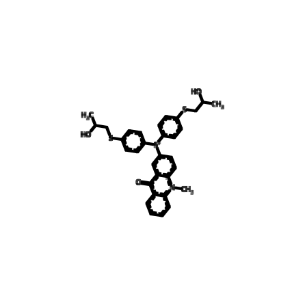 CC(O)CSc1ccc([S+](c2ccc(SCC(C)O)cc2)c2ccc3c(c2)c(=O)c2ccccc2n3C)cc1